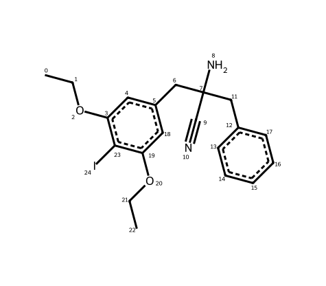 CCOc1cc(CC(N)(C#N)Cc2ccccc2)cc(OCC)c1I